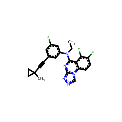 CCN(c1cc(F)cc(C#CC2(C)CC2)c1)c1nc2nncn2c2ccc(F)c(F)c12